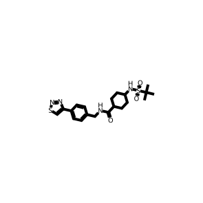 CC(C)(C)S(=O)(=O)NC1CCC(C(=O)NCc2ccc(-c3csnn3)cc2)CC1